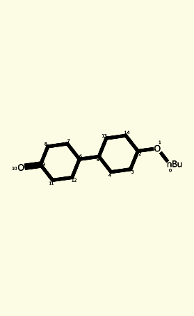 CCCCOC1CCC(C2CCC(=O)CC2)CC1